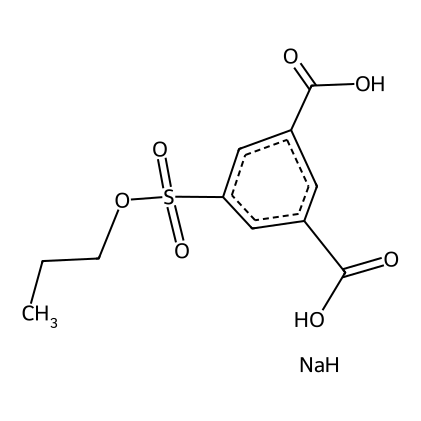 CCCOS(=O)(=O)c1cc(C(=O)O)cc(C(=O)O)c1.[NaH]